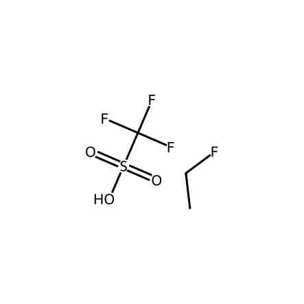 CCF.O=S(=O)(O)C(F)(F)F